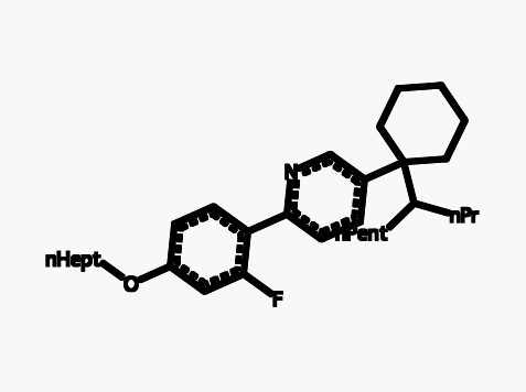 CCCCCCCOc1ccc(-c2ccc(C3(C(CCC)CCCCC)CCCCC3)cn2)c(F)c1